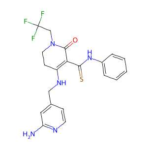 Nc1cc(CNC2=C(C(=S)Nc3ccccc3)C(=O)N(CC(F)(F)F)CC2)ccn1